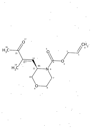 C=CCOC(=O)N1CCOC[C@H]1C=C(C)C(C)=O